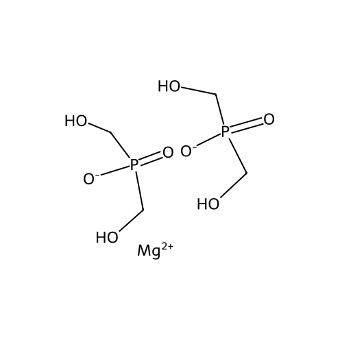 O=P([O-])(CO)CO.O=P([O-])(CO)CO.[Mg+2]